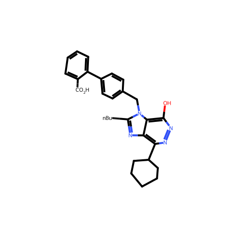 CCCCc1nc2c(C3CCCCC3)nnc(O)c2n1Cc1ccc(-c2ccccc2C(=O)O)cc1